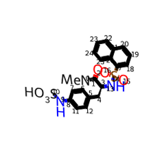 CNC(=O)[C@H](Cc1ccc(NS(=O)(=O)O)cc1)NS(=O)(=O)c1cccc2ccccc12